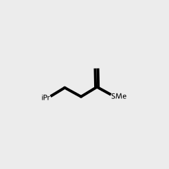 C=C(CCC(C)C)SC